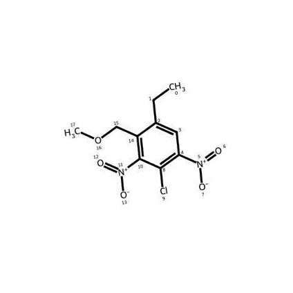 CCc1cc([N+](=O)[O-])c(Cl)c([N+](=O)[O-])c1COC